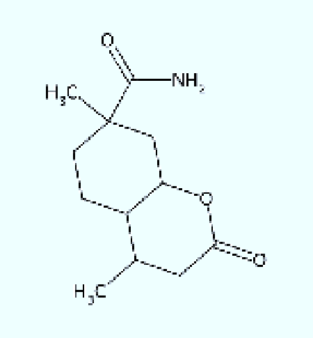 CC1CC(=O)OC2CC(C)(C(N)=O)CCC12